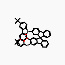 CC(C)(C)c1ccc2c(c1)c1cc(C(C)(C)C)ccc1n2-c1ccc2c(c1)C1(c3ccccc3-2)c2ccccc2-c2cc3sc4ccccc4c(=O)c3cc21